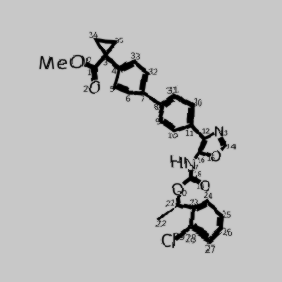 COC(=O)C1(c2ccc(-c3ccc(-c4ncoc4NC(=O)O[C@H](C)c4ccccc4Cl)cc3)cc2)CC1